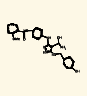 COc1ccccc1C(=O)Nc1ccc(Nc2n[nH]c(NCc3ccc(O)cc3)c2C(N)O)cc1